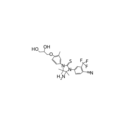 Cc1cc(N2C(=S)N(c3ccc(C#N)c(C(F)(F)F)c3)C(C)(N)C2(C)C)ccc1OCC(O)CO